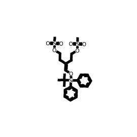 CC(C)(C)[Si](OC=C(CCOS(C)(=O)=O)CCOS(C)(=O)=O)(c1ccccc1)c1ccccc1